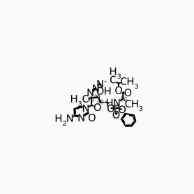 CC(C)OC(=O)[C@H](C)NP(=O)(OC[C@H]1OC(n2ccc(N)nc2=O)[C@](C)(N=[N+]=[N-])[C@@H]1O)Oc1ccccc1